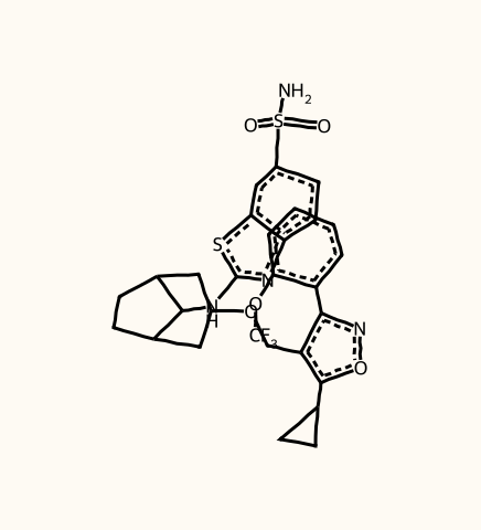 NS(=O)(=O)c1ccc2nc(NC3C4CCC3CC(OCc3c(-c5ccccc5OC(F)(F)F)noc3C3CC3)C4)sc2c1